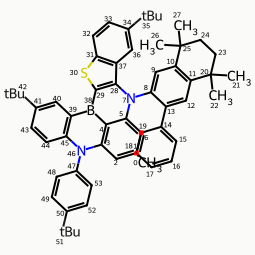 Cc1cc2c3c(c1)N(c1cc4c(cc1-c1ccccc1)C(C)(C)CCC4(C)C)c1c(sc4ccc(C(C)(C)C)cc14)B3c1cc(C(C)(C)C)ccc1N2c1ccc(C(C)(C)C)cc1